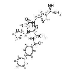 CC(NC(=O)c1ccc(-c2ccccc2)cc1)C(=O)N1CC2(C[C@H]1C(=O)NCc1cc(C(=N)N)cs1)OCCO2